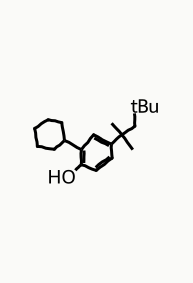 CC(C)(C)CC(C)(C)c1ccc(O)c(C2CCCCC2)c1